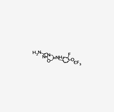 Nc1cn2c(n1)OC[C@@H](NCc1ccc(OC(F)(F)F)c(F)c1)C2